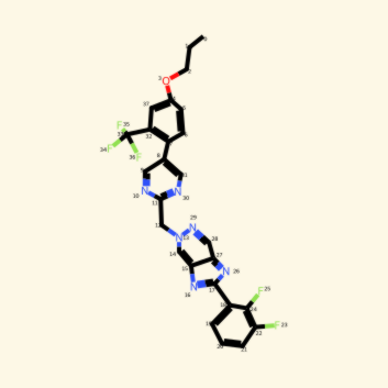 CCCOc1ccc(-c2cnc(Cn3cc4nc(-c5cccc(F)c5F)nc-4cn3)nc2)c(C(F)(F)F)c1